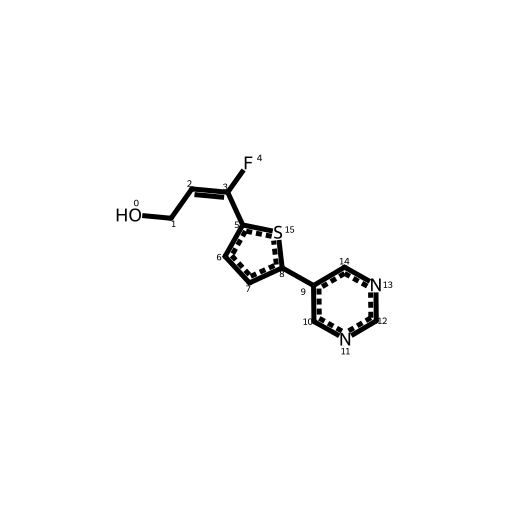 OC/C=C(/F)c1ccc(-c2cncnc2)s1